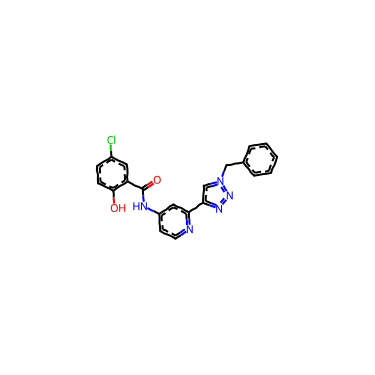 O=C(Nc1ccnc(-c2cn(Cc3ccccc3)nn2)c1)c1cc(Cl)ccc1O